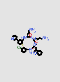 CN1C(=O)[C@H](CCCCN)NC(=O)[C@H](CCCN)NCc2cc(-c3cccnc3)ccc2Sc2c(Cl)cccc2CNC(=O)[C@@H]1Cc1c[nH]c2ccccc12